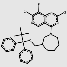 CC(C)(C)[Si](OCC1CN(c2nc(Cl)nc3c(F)c(Cl)ncc23)CCCO1)(c1ccccc1)c1ccccc1